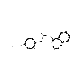 COc1ccc(CC(C)Nc2ncnc3ccccc23)c(C(F)(F)F)c1